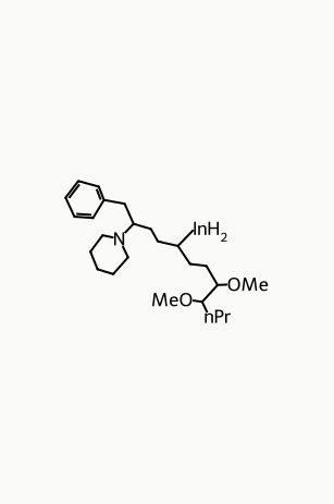 CCCC(OC)C(CC[CH]([InH2])CCC(Cc1ccccc1)N1CCCCC1)OC